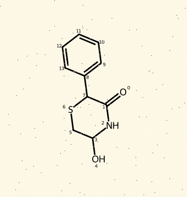 O=C1NC(O)CSC1c1ccccc1